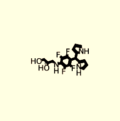 OC[C@H](O)CNc1c(F)c(F)c(C(c2ccc[nH]2)c2ccc[nH]2)c(F)c1F